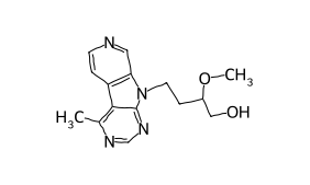 COC(CO)CCn1c2cnccc2c2c(C)ncnc21